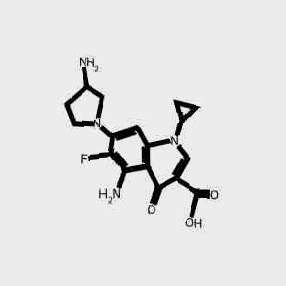 Nc1c(F)c(N2CCC(N)C2)cc2c1c(=O)c(C(=O)O)cn2C1CC1